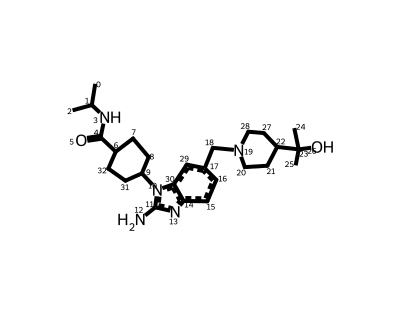 CC(C)NC(=O)C1CCC(n2c(N)nc3ccc(CN4CCC(C(C)(C)O)CC4)cc32)CC1